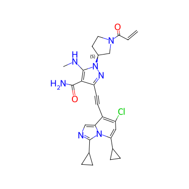 C=CC(=O)N1CC[C@H](n2nc(C#Cc3c(Cl)cc(C4CC4)n4c(C5CC5)ncc34)c(C(N)=O)c2NC)C1